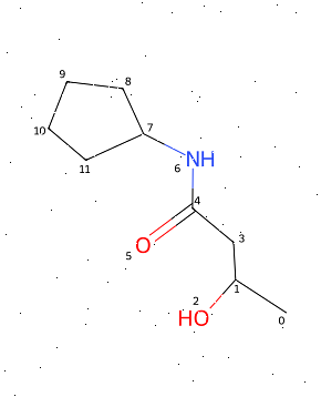 CC(O)CC(=O)NC1CCCC1